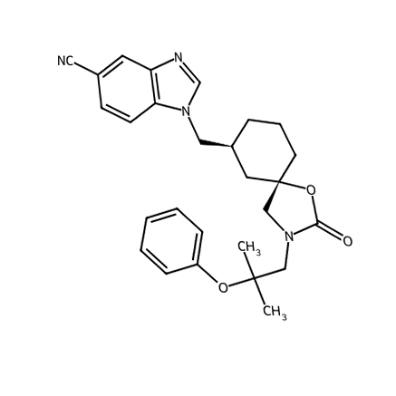 CC(C)(CN1C[C@@]2(CCC[C@H](Cn3cnc4cc(C#N)ccc43)C2)OC1=O)Oc1ccccc1